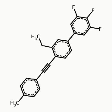 CCc1cc(-c2cc(F)c(F)c(F)c2)ccc1C#Cc1ccc(C)cc1